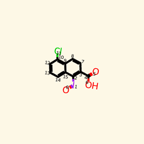 O=Ic1c(C(=O)O)ccc2c(Cl)cccc12